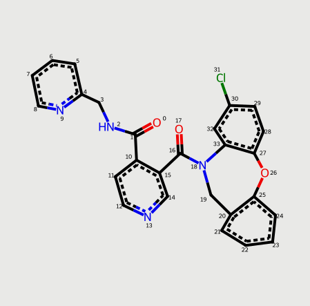 O=C(NCc1ccccn1)c1ccncc1C(=O)N1Cc2ccccc2Oc2ccc(Cl)cc21